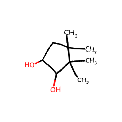 CC1(C)CC(O)C(O)C1(C)C